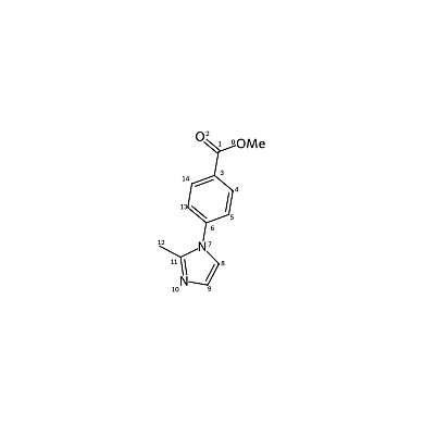 COC(=O)c1ccc(-n2ccnc2C)cc1